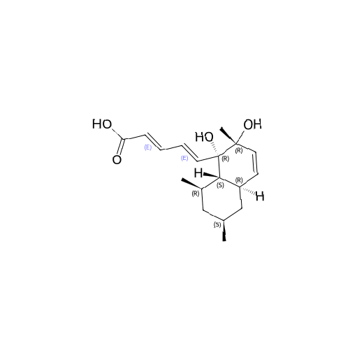 C[C@H]1C[C@@H](C)[C@H]2[C@@H](C=C[C@@](C)(O)[C@]2(O)/C=C/C=C/C(=O)O)C1